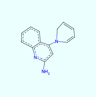 Nc1cc(N2C=CC=CC2)c2ccccc2n1